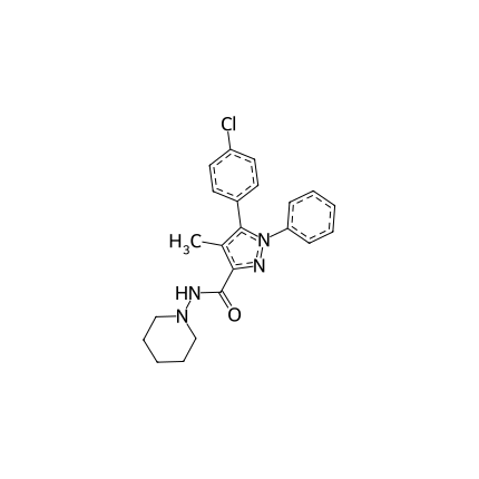 Cc1c(C(=O)NN2CCCCC2)nn(-c2ccccc2)c1-c1ccc(Cl)cc1